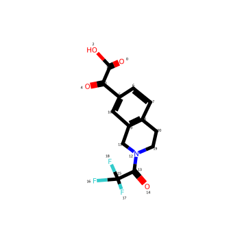 O=C(O)C(=O)c1ccc2c(c1)CN(C(=O)C(F)(F)F)CC2